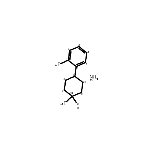 Fc1ccccc1C1CCC(F)(F)CC1.N